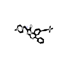 CN1CCN(/C=C2\N=C3CN=C(c4ccccc4)c4cc(C#C[Si](C)(C)C)ccc4N3C2=O)CC1